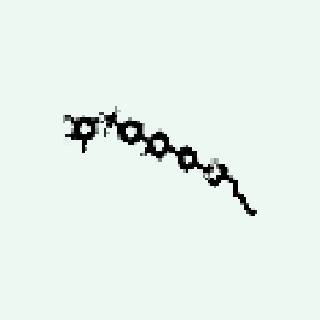 CCCCCc1cnc(-c2ccc(-c3ccc(-c4ccc(C(F)(F)Oc5cc(F)c(F)c(F)c5)cc4)c(F)c3)cc2)nc1